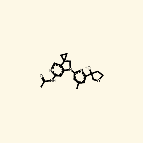 CC(=O)Nc1cc2c(cn1)C1(CC1)CN2c1cc(C)cc(C2(O)CCOC2)n1